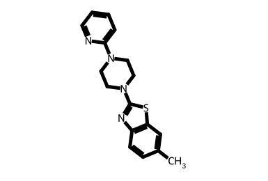 Cc1ccc2nc(N3CCN(c4ccccn4)CC3)sc2c1